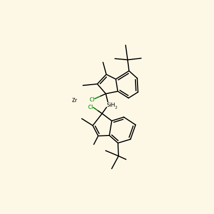 CC1=C(C)C(Cl)([SiH2]C2(Cl)C(C)=C(C)c3c(C(C)(C)C)cccc32)c2cccc(C(C)(C)C)c21.[Zr]